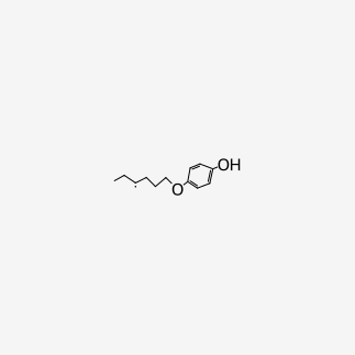 CC[CH]CCCOc1ccc(O)cc1